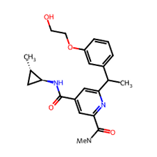 CNC(=O)c1cc(C(=O)N[C@H]2C[C@@H]2C)cc(C(C)c2cccc(OCCO)c2)n1